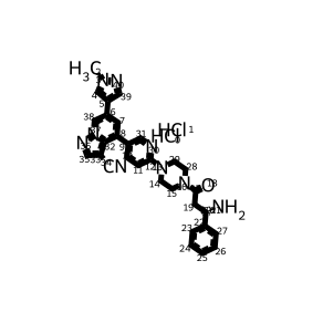 Cl.Cl.Cn1cc(-c2cc(-c3ccc(N4CCN(C(=O)C[C@H](N)c5ccccc5)CC4)nc3)c3c(C#N)cnn3c2)cn1